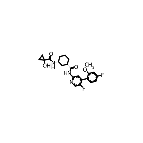 COc1cc(F)ccc1-c1cc(NC(=O)[C@H]2CCC[C@@H](NC(=O)C3(O)CC3)C2)ncc1F